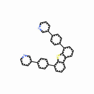 c1cncc(-c2ccc(-c3cccc4c3sc3c(-c5ccc(-c6cccnc6)cc5)cccc34)cc2)c1